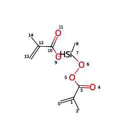 C=C(C)C(=O)OO[SiH](C)OC(=O)C(=C)C